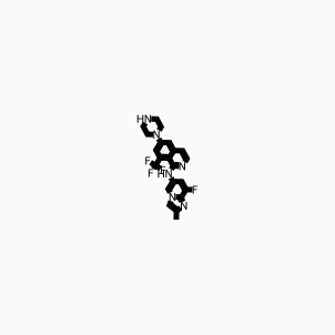 Cc1cn2cc(Nc3nccc4cc(N5CCNCC5)cc(C(F)(F)F)c34)cc(F)c2n1